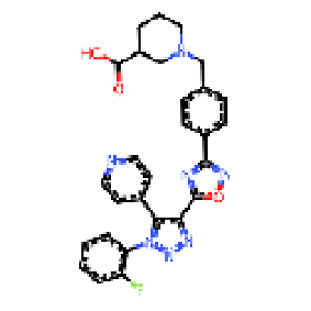 O=C(O)C1CCCN(Cc2ccc(-c3noc(-c4nnn(-c5ccccc5F)c4-c4ccncc4)n3)cc2)C1